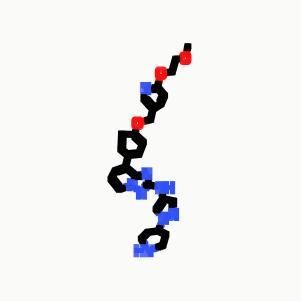 COCCOc1ccc(COc2ccc(-c3cccn4nc(Nc5cnn(C6CCNCC6)c5)nc34)cc2)cn1